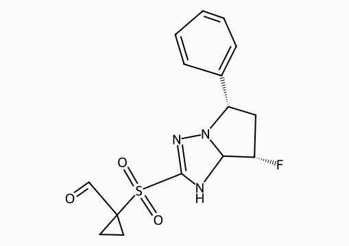 O=CC1(S(=O)(=O)C2=NN3C(N2)[C@@H](F)C[C@H]3c2ccccc2)CC1